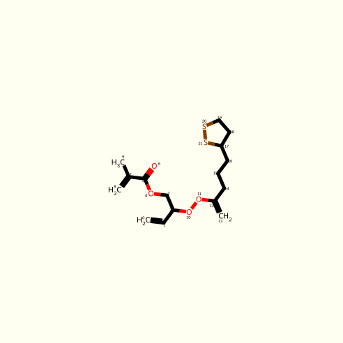 C=CC(COC(=O)C(=C)C)OOC(=C)CCCC1CCSS1